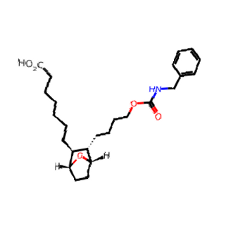 O=C(O)CCCCCC[C@H]1[C@H](CCCCOC(=O)NCc2ccccc2)[C@@H]2CC[C@H]1O2